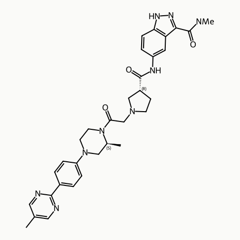 CNC(=O)c1n[nH]c2ccc(NC(=O)[C@@H]3CCN(CC(=O)N4CCN(c5ccc(-c6ncc(C)cn6)cc5)C[C@@H]4C)C3)cc12